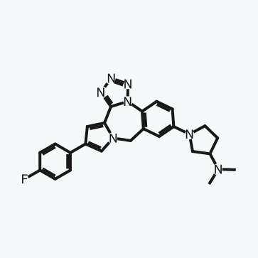 CN(C)C1CCN(c2ccc3c(c2)Cn2cc(-c4ccc(F)cc4)cc2-c2nnnn2-3)C1